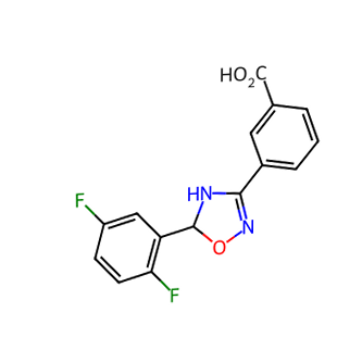 O=C(O)c1cccc(C2=NOC(c3cc(F)ccc3F)N2)c1